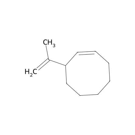 C=C(C)C1/C=C\CCCCC1